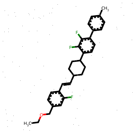 CCOCc1ccc(/C=C/C2CCC(c3ccc(-c4ccc(C)cc4)c(F)c3F)CC2)c(F)c1